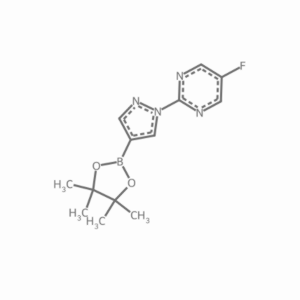 CC1(C)OB(c2cnn(-c3ncc(F)cn3)c2)OC1(C)C